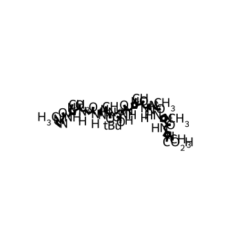 Cn1cc(NC(=O)c2cc(NC(=O)c3nc(NC(=O)c4cc(NC(=O)[C@H](CCNC(=O)c5nc(NC(=O)CCNC(=O)c6cc(NC(=O)c7nccn7C)cn6C)cn5C)NC(=O)OC(C)(C)C)cn4C)cn3C)cn2C)cc1C(=O)O